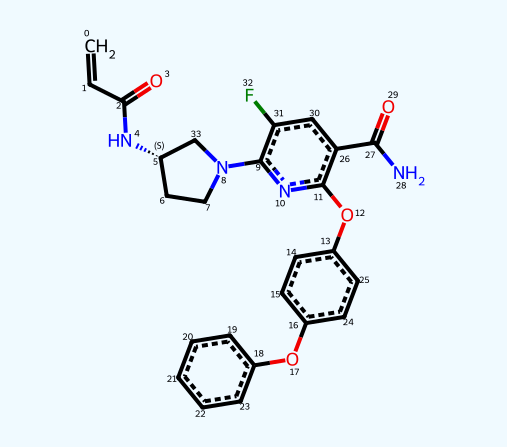 C=CC(=O)N[C@H]1CCN(c2nc(Oc3ccc(Oc4ccccc4)cc3)c(C(N)=O)cc2F)C1